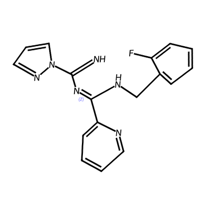 N=C(/N=C(\NCc1ccccc1F)c1ccccn1)n1cccn1